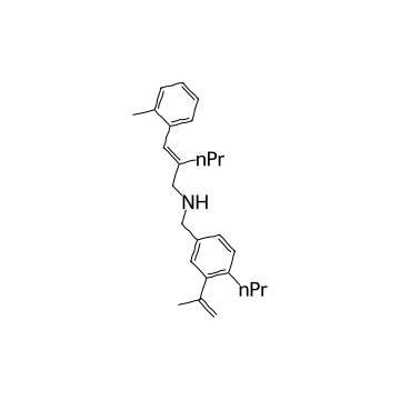 C=C(C)c1cc(CNC/C(=C/c2ccccc2C)CCC)ccc1CCC